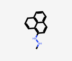 CNNc1ccc2cccc3c2c1C=CC3